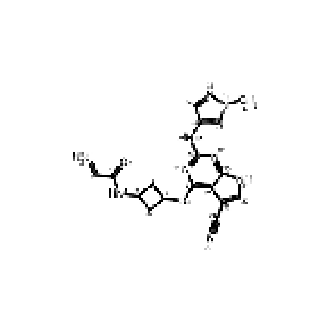 C=CC(=O)NC1CC(Oc2nc(Nc3cnn(C)c3)nc3[nH]cc(C#N)c23)C1